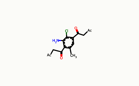 CC(=O)CC(=O)c1cc(C)c(C(=O)CC(C)=O)c(N)c1Cl